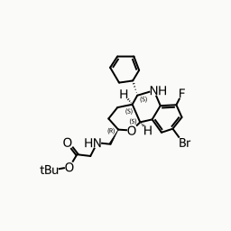 CC(C)(C)OC(=O)CNC[C@H]1CC[C@@H]2[C@H](O1)c1cc(Br)cc(F)c1N[C@H]2C1C=CC=CC1